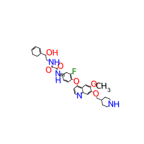 COc1cc2c(OC3=C(F)C[C@@H](NC(=O)C(=O)NCC(O)C4=CC=CCC4)C=C3)ccnc2cc1OCC1CCNCC1